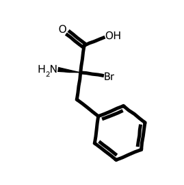 N[C@@](Br)(Cc1ccccc1)C(=O)O